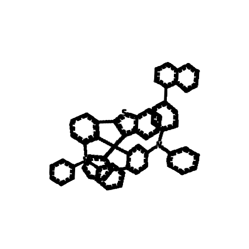 c1ccc(N(c2ccc(-c3cccc4ccccc34)cc2)c2ccc3c(c2)C2(c4ccccc4-3)c3c(cccc3N(c3ccccc3)c3ccccc3)-c3sc4ccccc4c32)cc1